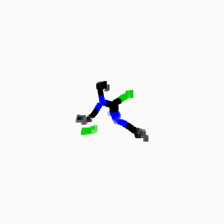 C/N=C(\Cl)N(C)C.Cl